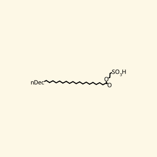 CCCCCCCCCCCCCCCCCCCCCCCCCCCCC(=O)OCCS(=O)(=O)O